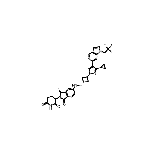 O=C1CCC(N2C(=O)c3ccc(NC[C@H]4C[C@H](n5cc(-c6cc7c(cn6)cnn7CC(F)(F)F)c(C6CC6)n5)C4)cc3C2=O)C(=O)N1